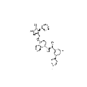 CC1CCN(c2cc(F)cc(C(=O)Nc3ccc(OCc4n[nH]c(=O)n4-c4ccccc4)c4ccccc34)c2)CC1